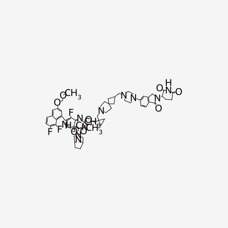 COCOc1cc(-c2ncc3c(N4CC5CCC(C4)N5C(=O)OC(C)(C)C)nc(OCC4(CN5CCC6(CC5)CC(CN5CCN(c7ccc8c(c7)CN([C@H]7CCC(=O)NC7=O)C8=O)CC5)C6)CC4)nc3c2F)c2c(F)c(F)ccc2c1